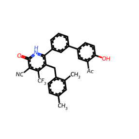 CC(=O)c1cc(-c2cccc(-c3[nH]c(=O)c(C#N)c(C(F)(F)F)c3Cc3ccc(C)cc3C)c2)ccc1O